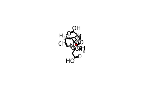 CCC1N(C(=O)O)C2=C[N+]1(C(=O)O)N2C1(C(C)=O)C=CC=CN1CCC(=O)O.[Cl-]